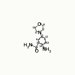 NC(=O)c1cc(N2CCOCC2)ccc1N